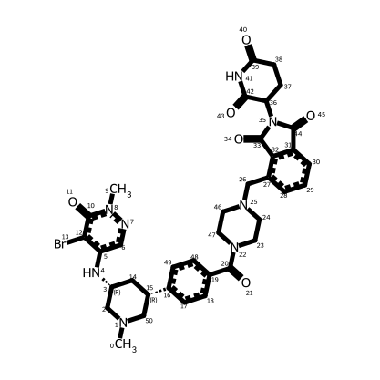 CN1C[C@H](Nc2cnn(C)c(=O)c2Br)C[C@H](c2ccc(C(=O)N3CCN(Cc4cccc5c4C(=O)N(C4CCC(=O)NC4=O)C5=O)CC3)cc2)C1